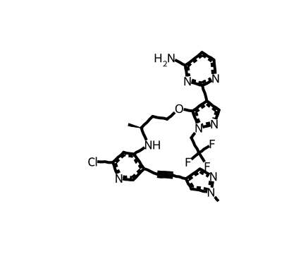 C[C@@H](CCOc1c(-c2nccc(N)n2)cnn1CC(F)(F)F)Nc1cc(Cl)ncc1C#Cc1cnn(C)c1